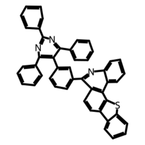 c1ccc(-c2nc(-c3ccccc3)c(-c3cccc(-c4nc5ccccc5c5c4ccc4c6ccccc6sc45)c3)c(-c3ccccc3)n2)cc1